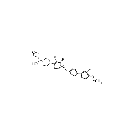 CCCC(O)C1CCC(c2ccc(OCc3ccc(-c4ccc(OCC)c(F)c4)cc3)c(F)c2F)CC1